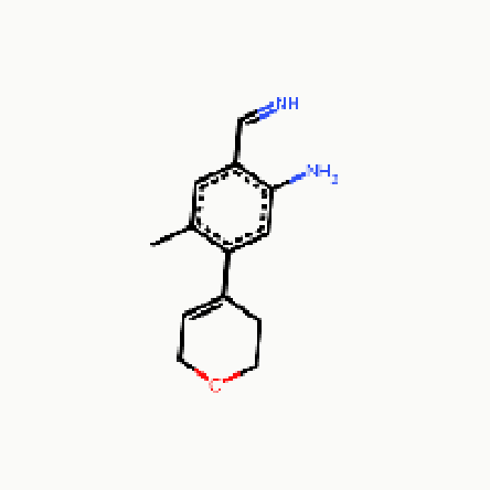 Cc1cc(C=N)c(N)cc1C1=CCOCC1